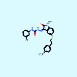 CCCN1C(=O)C(=NNC(=O)Nc2cccc(C(F)(F)F)c2)c2cc(SCCc3ccc(C(=O)O)cc3)ccc21